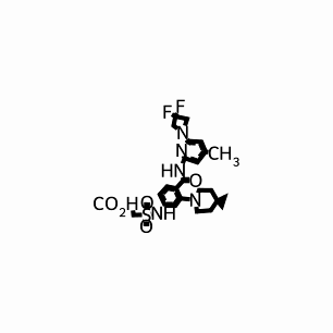 Cc1cc(NC(=O)c2ccc(NS(=O)(=O)CC(=O)O)cc2N2CCC3(CC2)CC3)nc(N2CC(F)(F)C2)c1